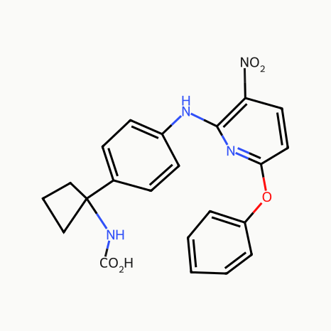 O=C(O)NC1(c2ccc(Nc3nc(Oc4ccccc4)ccc3[N+](=O)[O-])cc2)CCC1